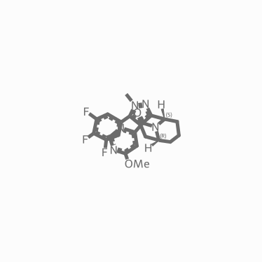 COc1cc(C(=O)N2[C@@H]3CCC[C@H]2c2nn(C)c(-c4cc(F)c(F)c(F)c4)c2C3)ncn1